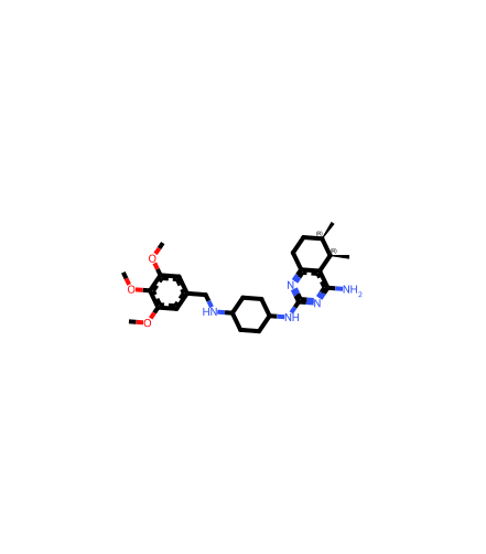 COc1cc(CNC2CCC(Nc3nc(N)c4c(n3)CC[C@@H](C)[C@H]4C)CC2)cc(OC)c1OC